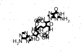 Nc1nc2c(ncn2[C@@H]2O[C@@H]3COP(=O)(O)OC4C(O)[C@H](n5cnc6c(N)ncnc65)O[C@@H]4COP(=O)(O)OC2C3CCCO)c(=O)[nH]1